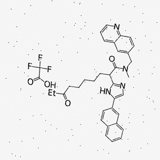 CCC(=O)CCCCCC(C(=O)N(C)Cc1ccc2ncccc2c1)c1ncc(-c2ccc3ccccc3c2)[nH]1.O=C(O)C(F)(F)F